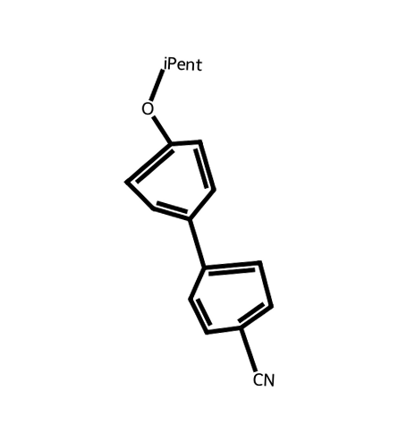 CCCC(C)Oc1ccc(-c2ccc(C#N)cc2)cc1